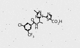 Cc1nc(C(C)NC(=O)c2cc(Cl)cc(C(F)(F)F)c2)n(-c2ncc(C(=O)O)s2)n1